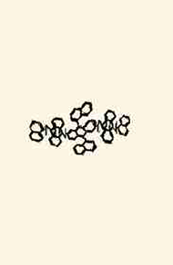 C1=CC2=C(CC1)N(c1ccc3c(-c4cccc5ccccc45)c4cc(N5c6ccccc6N(c6cccc7ccccc67)c6ccccc65)ccc4c(-c4cccc5ccccc45)c3c1)c1ccccc1N2c1cccc2ccccc12